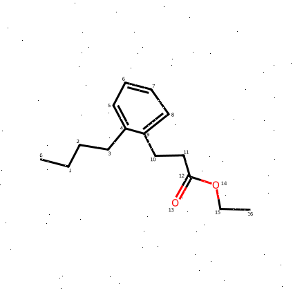 CCCCc1ccccc1CCC(=O)OCC